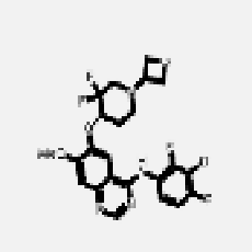 COc1cc2ncnc(Nc3ccc(F)c(Cl)c3F)c2cc1O[C@@H]1CCN(C2COC2)CC1(F)F